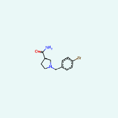 NC(=O)C1CCN(Cc2ccc(Br)cc2)C1